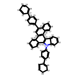 C1=CC(c2ccc(-n3c4ccccc4c4c5c6ccccc6c(-c6ccc(-c7ccccc7)cc6)cc5c5ccccc5c43)cc2)=CCC1